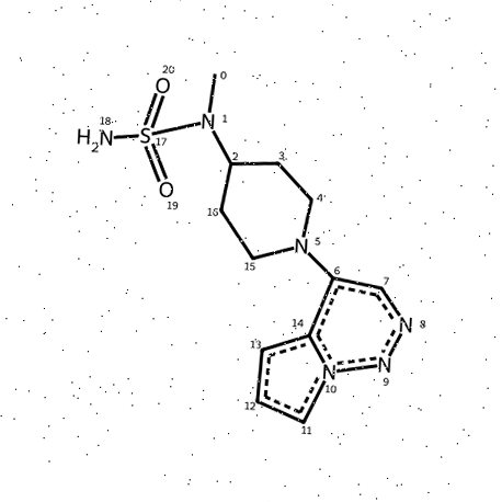 CN(C1CCN(c2cnnn3cccc23)CC1)S(N)(=O)=O